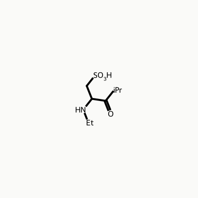 CCNC(CS(=O)(=O)O)C(=O)C(C)C